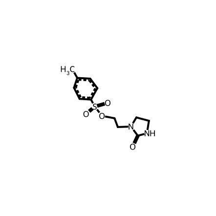 Cc1ccc(S(=O)(=O)OCCN2CCNC2=O)cc1